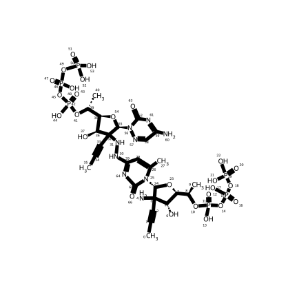 CC#CC1(N)[C@@H](O)[C@@H]([C@@H](C)OP(=O)(O)OP(=O)(O)OP(=O)(O)O)O[C@H]1n1c(C)cc(NNC2(C#CC)[C@@H](O)[C@@H]([C@@H](C)OP(=O)(O)OP(=O)(O)OP(=O)(O)O)O[C@H]2n2ncc(N)nc2=O)nc1=O